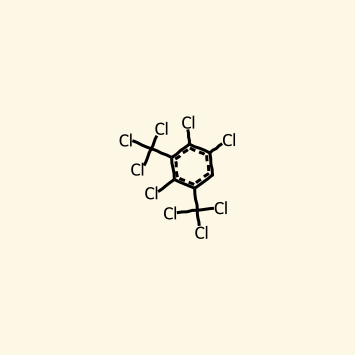 Clc1cc(C(Cl)(Cl)Cl)c(Cl)c(C(Cl)(Cl)Cl)c1Cl